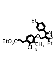 CCOC(=O)CCc1ccc(OCc2c(-c3ccc(CC)cc3)nsc2CC)c(C)c1C